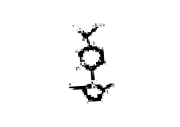 Cc1ccc(C)n1-c1ccc(C(=O)C(C)C)cn1